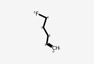 [CH]=CCCCF